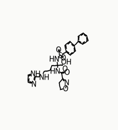 O=C(NC(CCCNc1ncc[nH]1)(NS(=O)(=O)c1ccc(-c2ccccc2)cc1)C(=O)O)C1=NOCC1